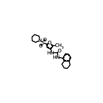 Cc1oc(S(=O)(=O)N2CCCCC2)cc1NC(=O)Nc1cccc2c1CCCC2